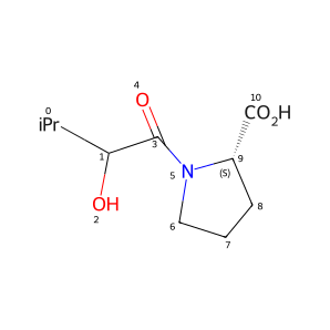 CC(C)C(O)C(=O)N1CCC[C@H]1C(=O)O